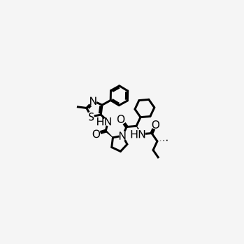 CC[C@@H](C)C(=O)N[C@H](C(=O)N1CCC[C@H]1C(=O)Nc1sc(C)nc1-c1ccccc1)C1CCCCC1